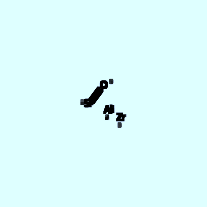 O=[Si].[Al].[Zr]